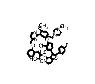 COc1ccccc1-c1nccc(COc2ccccc2CC(Oc2nccc3sc(-c4ccc(F)cc4)c(-c4ccc(OCCN5CCN(C)CC5)c(Cl)c4C)c23)C(=O)O)n1